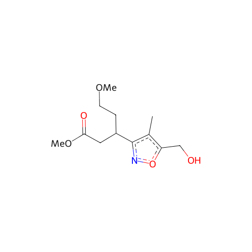 COCCC(CC(=O)OC)c1noc(CO)c1C